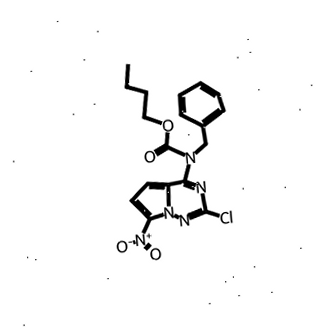 CCCCOC(=O)N(Cc1ccccc1)c1nc(Cl)nn2c([N+](=O)[O-])ccc12